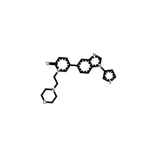 O=c1ccc(-c2ccc3c(c2)ncn3-c2ccsc2)cn1CCN1CCOCC1